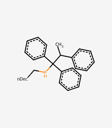 CCCCCCCCCCCPC(c1ccccc1)(c1ccccc1)C(C)c1ccccc1